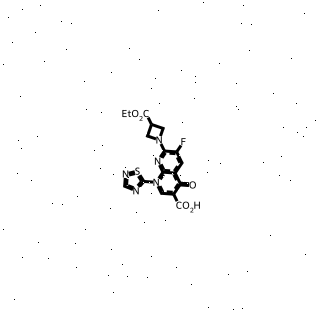 CCOC(=O)C1CN(c2nc3c(cc2F)c(=O)c(C(=O)O)cn3-c2ncns2)C1